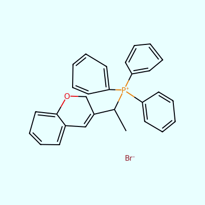 CC(C1=Cc2ccccc2OC1)[P+](c1ccccc1)(c1ccccc1)c1ccccc1.[Br-]